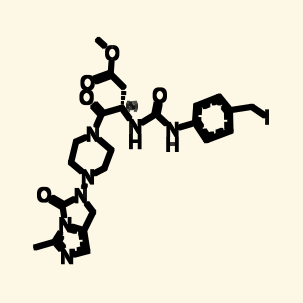 COC(=O)C[C@H](NC(=O)Nc1ccc(CI)cc1)C(=O)N1CCN(N2Cc3cnc(C)n3C2=O)CC1